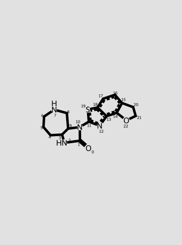 O=C1NC2CCCNCC2N1c1nc2c3c(ccc2s1)CCO3